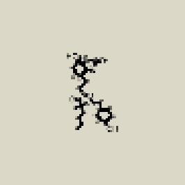 CCCCC(C)(C)C(=O)N(CCc1ccc(O)c2[nH]c(=O)sc12)OCCc1ccc(O)cc1